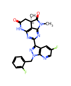 CN1C(=O)[C@]2(C)CC(=O)Nc3nc(-c4nn(Cc5ccccc5F)c5ncc(F)cc45)nc1c32